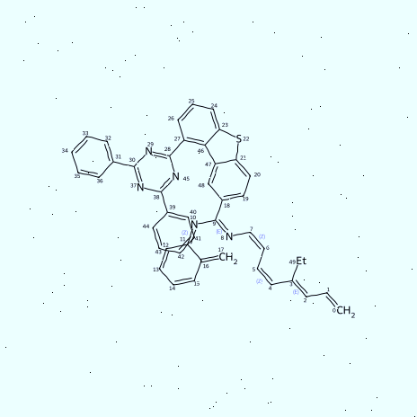 C=C/C=C(/C=C\C=C/N=C(/N=C1/C=CC=CC1=C)c1ccc2sc3cccc(-c4nc(-c5ccccc5)nc(-c5ccccc5)n4)c3c2c1)CC